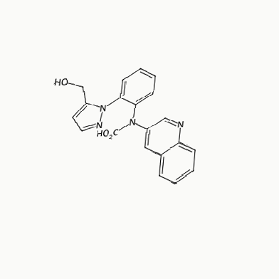 O=C(O)N(c1cnc2ccccc2c1)c1ccccc1-n1nccc1CO